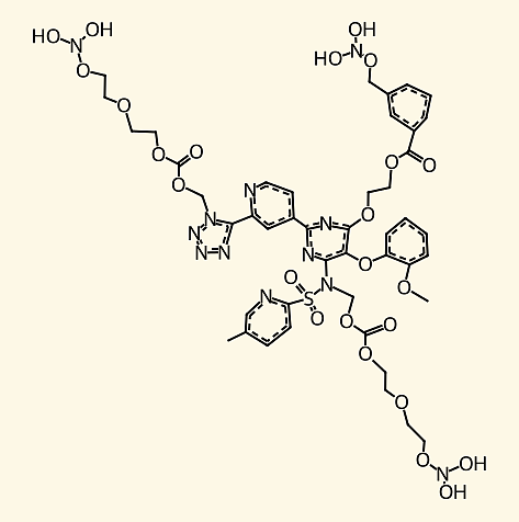 COc1ccccc1Oc1c(OCCOC(=O)c2cccc(CON(O)O)c2)nc(-c2ccnc(-c3nnnn3COC(=O)OCCOCCON(O)O)c2)nc1N(COC(=O)OCCOCCON(O)O)S(=O)(=O)c1ccc(C)cn1